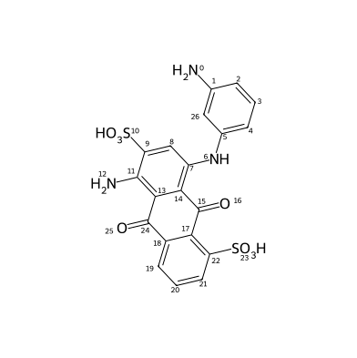 Nc1cccc(Nc2cc(S(=O)(=O)O)c(N)c3c2C(=O)c2c(cccc2S(=O)(=O)O)C3=O)c1